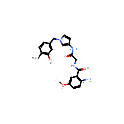 COc1ccc(Cn2ccc(NC(=O)CNC(=O)c3cc(OC(F)(F)F)ccc3N)c2)cc1O